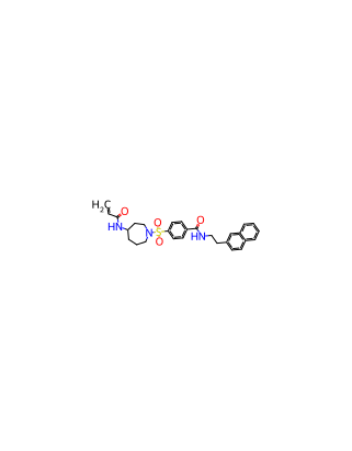 C=CC(=O)NC1CCCN(S(=O)(=O)c2ccc(C(=O)NCCc3ccc4ccccc4c3)cc2)CC1